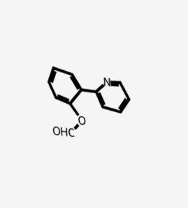 O=COc1ccccc1-c1ccccn1